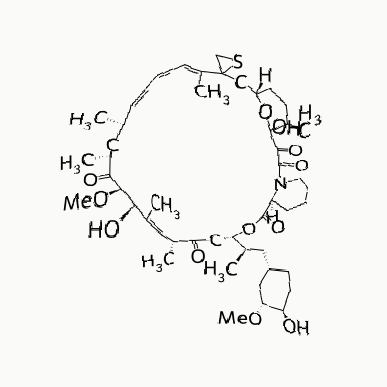 CO[C@@H]1C[C@H](C[C@@H](C)[C@@H]2CC(=O)[C@H](C)/C=C(\C)[C@@H](O)[C@@H](OC)C(=O)[C@H](C)C[C@H](C)/C=C/C=C/C=C(\C)C3(CS3)C[C@@H]3CC[C@@H](C)[C@@](O)(O3)C(=O)C(=O)N3CCCC[C@H]3C(=O)O2)CC[C@H]1O